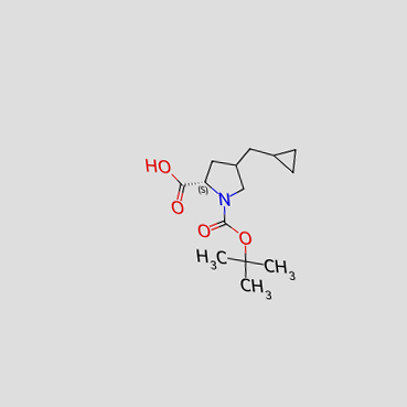 CC(C)(C)OC(=O)N1CC(CC2CC2)C[C@H]1C(=O)O